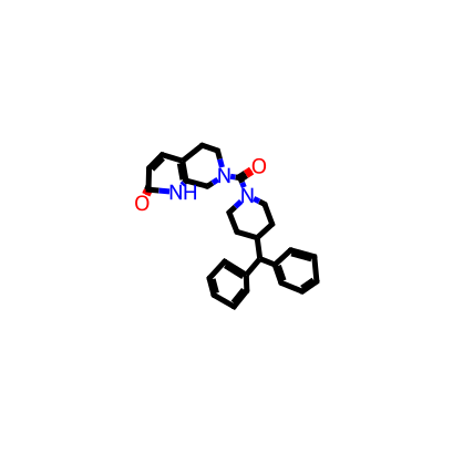 O=C(N1CCC(C(c2ccccc2)c2ccccc2)CC1)N1CCc2ccc(=O)[nH]c2C1